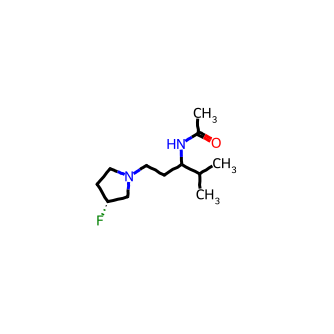 CC(=O)NC(CCN1CC[C@@H](F)C1)C(C)C